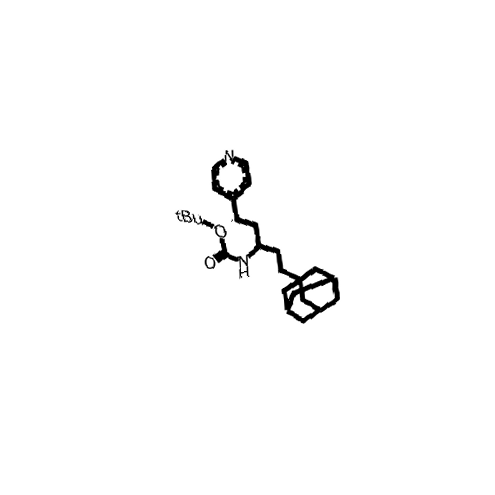 CC(C)(C)OC(=O)NC(C[CH]c1ccncc1)CCC12CC3CC(CC(C3)C1)C2